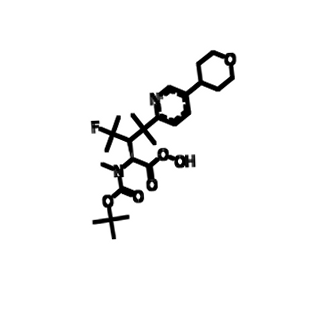 CN(C(=O)OC(C)(C)C)[C@H](C(=O)OO)C(C(C)(C)F)C(C)(C)c1ccc(C2CCOCC2)cn1